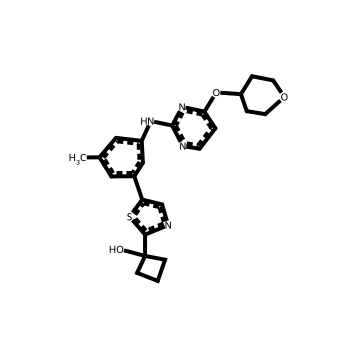 Cc1cc(Nc2nccc(OC3CCOCC3)n2)cc(-c2cnc(C3(O)CCC3)s2)c1